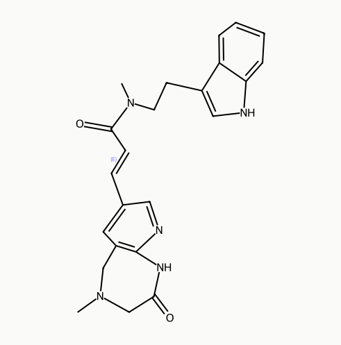 CN1CC(=O)Nc2ncc(/C=C/C(=O)N(C)CCc3c[nH]c4ccccc34)cc2C1